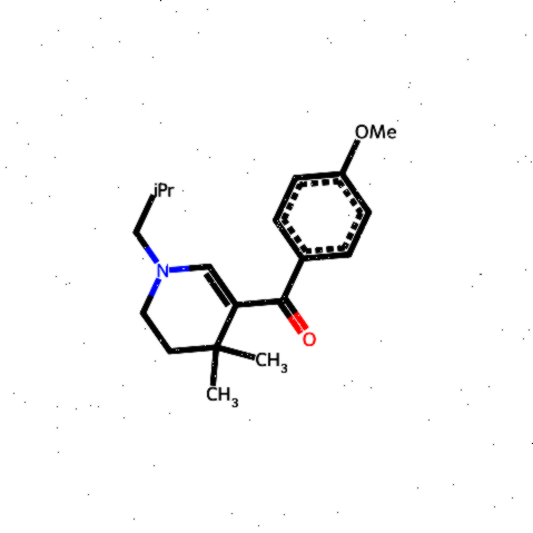 COc1ccc(C(=O)C2=CN(CC(C)C)CCC2(C)C)cc1